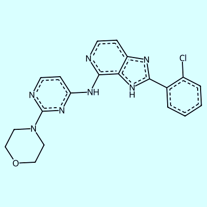 Clc1ccccc1-c1nc2ccnc(Nc3ccnc(N4CCOCC4)n3)c2[nH]1